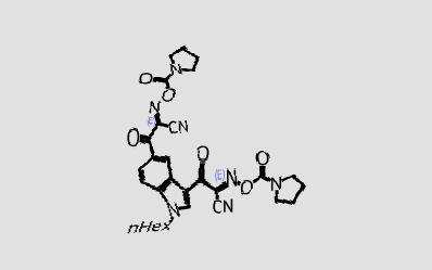 CCCCCCn1cc(C(=O)/C(C#N)=N/OC(=O)N2CCCC2)c2cc(C(=O)/C(C#N)=N/OC(=O)N3CCCC3)ccc21